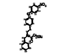 CC(C)(C)OC(=O)N(CCc1ccc(Oc2ccc([N+](=O)[O-])cc2)cc1)Cc1ccccc1